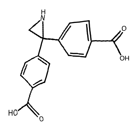 O=C(O)c1ccc(C2(c3ccc(C(=O)O)cc3)CN2)cc1